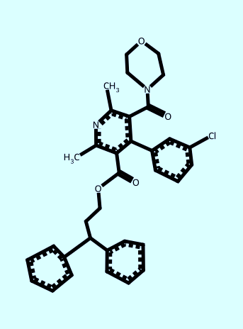 Cc1nc(C)c(C(=O)N2CCOCC2)c(-c2cccc(Cl)c2)c1C(=O)OCCC(c1ccccc1)c1ccccc1